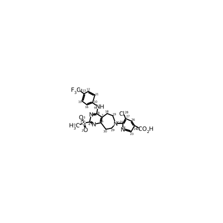 CS(=O)(=O)c1nc2c(c(Nc3ccc(C(F)(F)F)cc3)n1)CCN(c1ncc(C(=O)O)cc1Cl)CC2